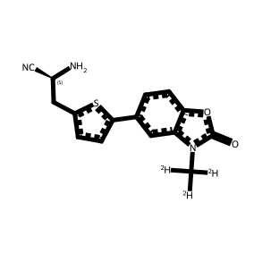 [2H]C([2H])([2H])n1c(=O)oc2ccc(-c3ccc(C[C@H](N)C#N)s3)cc21